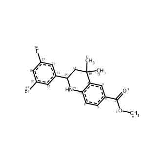 COC(=O)c1ccc2c(c1)C(C)(C)CC(c1cc(F)cc(Br)c1)N2